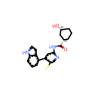 O=C(Nc1cc(-c2cccc3[nH]ccc23)c(F)cn1)[C@H]1CCC[C@@H](O)C1